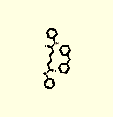 O=C(/C=C/C=C/C(=O)Nc1ccccc1)Nc1ccccc1.c1ccc(Cc2ccccc2)cc1